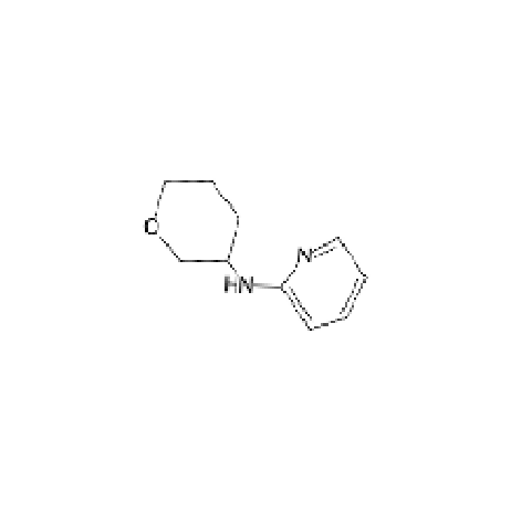 c1ccc(NC2CCCOC2)nc1